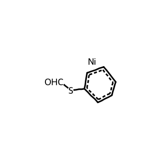 O=CSc1ccccc1.[Ni]